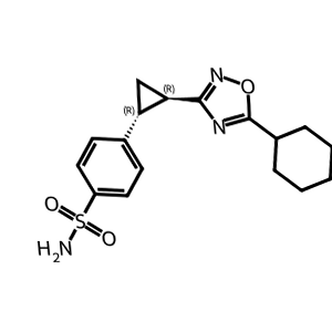 NS(=O)(=O)c1ccc([C@@H]2C[C@H]2c2noc(C3CCCCC3)n2)cc1